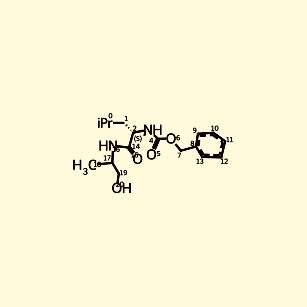 CC(C)C[C@H](NC(=O)OCc1ccccc1)C(=O)NC(C)CO